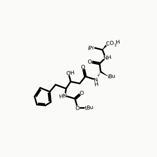 CC[C@H](C)[C@H](NC(=O)CC(O)C(Cc1ccccc1)NC(=O)OC(C)(C)C)C(=O)N[C@H](C(=O)O)C(C)C